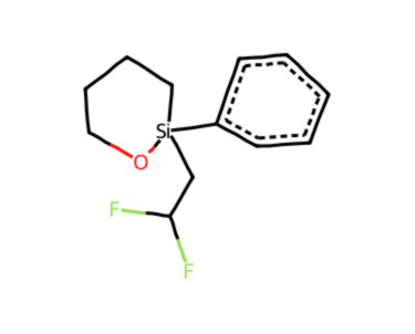 FC(F)C[Si]1(c2ccccc2)CCCCO1